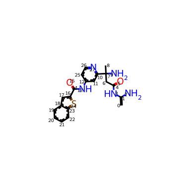 C=C(N)NC(=O)CC(C)(N)c1cc(NC(=O)c2cc3ccccc3s2)ccn1